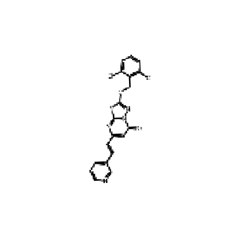 O=c1cc(/C=C/c2cccnc2)nc2sc(SCc3c(Cl)cccc3Cl)nn12